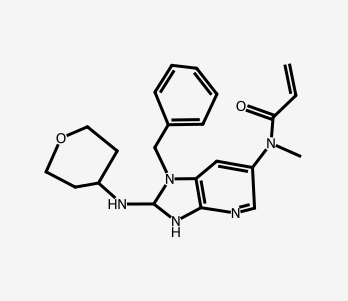 C=CC(=O)N(C)c1cnc2c(c1)N(Cc1ccccc1)C(NC1CCOCC1)N2